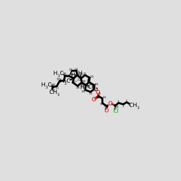 CCCCC(Cl)OC(=O)CCC(=O)O[C@H]1CC[C@@]2(C)C(=CC[C@H]3[C@@H]4CC[C@H]([C@H](C)CCCC(C)C)[C@@]4(C)CC[C@@H]32)C1